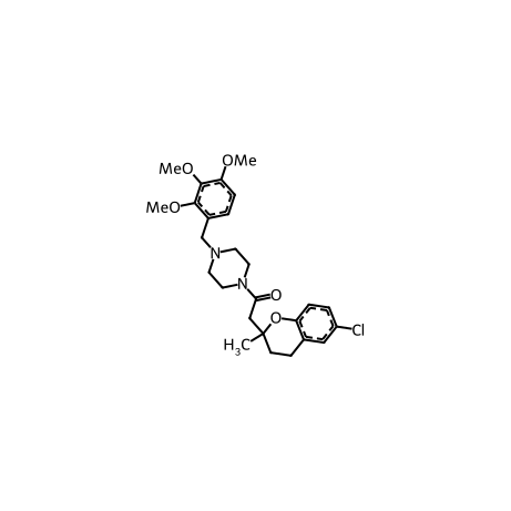 COc1ccc(CN2CCN(C(=O)CC3(C)CCc4cc(Cl)ccc4O3)CC2)c(OC)c1OC